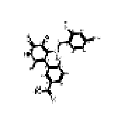 Cc1[nH]c(=O)c(Br)c(OCc2ccc(F)cc2F)c1-c1cc(C(=O)O)ccc1Cl